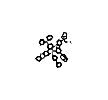 CCC1(c2ccc3c(c2)c2cc(C45CC6CC(CC(C6)C4)C5)cc4c2n3-c2cc(N(c3ccccc3)c3ccccc3)cc3c2B4N(c2ccc(-c4ccccc4)cc2)c2cc4c(cc2-3)Oc2ccccc2O4)CC2CCC(C2)C1